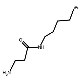 CC(C)CCCCNC(=O)CCN